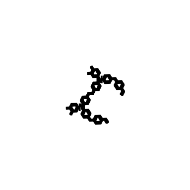 C=Cc1ccc(Cc2ccc(N(c3ccc(CCc4ccc(N(c5ccc(Cc6ccc(C=C)cc6)cc5)c5ccc(C)c(C)c5)cc4)cc3)c3ccc(C)c(C)c3)cc2)cc1